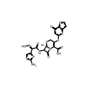 Nc1nc(/C(=N\O)C(=O)NC2C(=O)N3C(C(=O)O)=C(Sc4cc(=O)c5occc5s4)CS[C@H]23)cs1